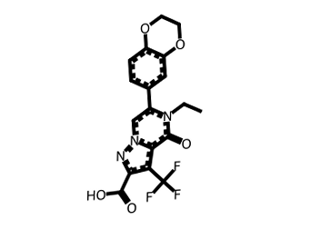 CCn1c(-c2ccc3c(c2)OCCO3)cn2nc(C(=O)O)c(C(F)(F)F)c2c1=O